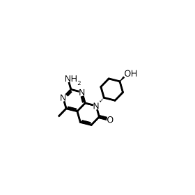 Cc1nc(N)nc2c1ccc(=O)n2[C@H]1CC[C@H](O)CC1